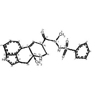 CN(NS(=O)(=O)c1ccccc1)C(=O)[C@@H]1C=C2c3cccc4[nH]cc(c34)C[C@@]2(C)NC1